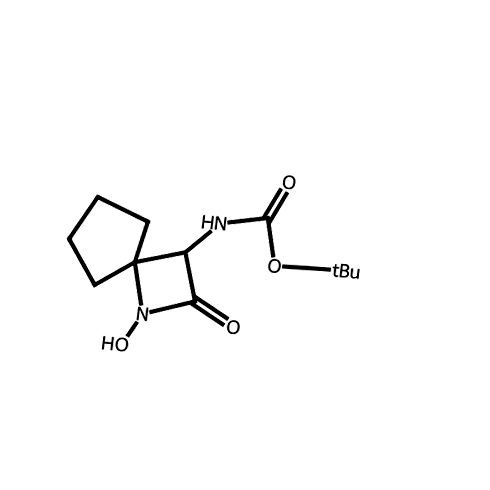 CC(C)(C)OC(=O)NC1C(=O)N(O)C12CCCC2